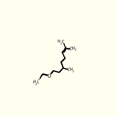 CCOCCC(C)CCC=C(C)C